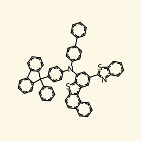 c1ccc(-c2ccc(N(c3ccc(C4(c5ccccc5)c5ccccc5-c5ccccc54)cc3)c3cc(-c4nc5ccccc5s4)cc4c3sc3ccc5ccccc5c34)cc2)cc1